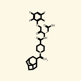 C=C(N1CCC(C(=O)N[C@@H](CC(=O)O)C(=O)COc2c(F)c(F)cc(F)c2F)CC1)C12CC3CC4CC(C1)C4(C3)C2